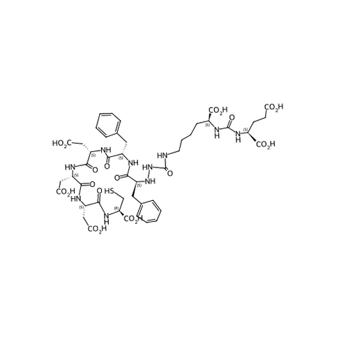 O=C(O)CC[C@H](NC(=O)N[C@@H](CCCCNC(=O)NN[C@@H](Cc1ccccc1)C(=O)N[C@@H](Cc1ccccc1)C(=O)N[C@@H](CC(=O)O)C(=O)N[C@@H](CC(=O)O)C(=O)N[C@@H](CC(=O)O)C(=O)N[C@@H](CS)C(=O)O)C(=O)O)C(=O)O